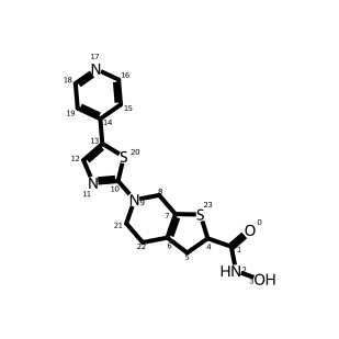 O=C(NO)C1CC2=C(CN(c3ncc(-c4ccncc4)s3)CC2)S1